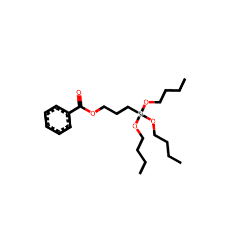 CCCCO[Si](CCCOC(=O)c1ccccc1)(OCCCC)OCCCC